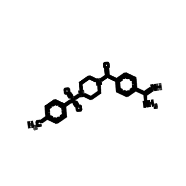 Cc1ccc(S(=O)(=O)N2CCN(C(=O)c3ccc(C(=N)N)cc3)CC2)cc1